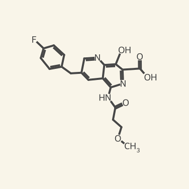 COCCC(=O)Nc1nc(C(=O)O)c(O)c2ncc(Cc3ccc(F)cc3)cc12